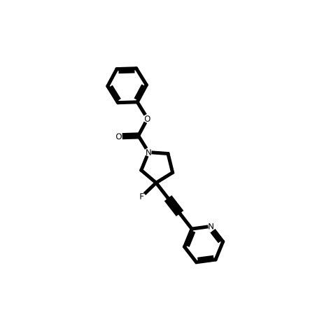 O=C(Oc1ccccc1)N1CCC(F)(C#Cc2ccccn2)C1